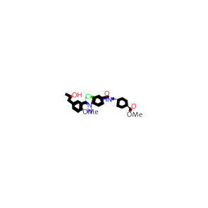 COc1ccc(CC(C)O)cc1[C@H](C)Nc1ccc(C(=O)NC[C@H]2CC[C@H](C(=O)OC)CC2)cc1Cl